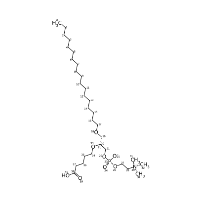 CCCCCCCCCCCCCCCCCCOC[C@H](COP(=O)([O-])OCC[N+](C)(C)C)OCCCCC(=O)O